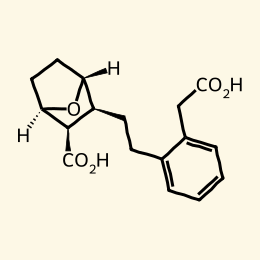 O=C(O)Cc1ccccc1CC[C@H]1[C@@H](C(=O)O)[C@H]2CC[C@H]1O2